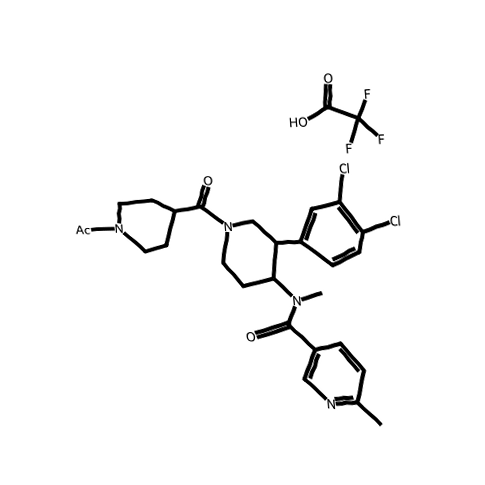 CC(=O)N1CCC(C(=O)N2CCC(N(C)C(=O)c3ccc(C)nc3)C(c3ccc(Cl)c(Cl)c3)C2)CC1.O=C(O)C(F)(F)F